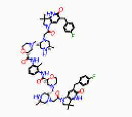 Cc1c(NC(=O)[C@@H]2CN(C[C@H]3CN[C@H](C)CN3CC(=O)N3CC(C)(C)c4[nH]c(=O)c(Cc5ccc(F)cc5)cc43)CCO2)cccc1NC(=O)[C@@H]1CN(C[C@H]2CN[C@H](C)CN2CC(=O)N2CC(C)(C)c3[nH]c(=O)c(Cc4ccc(F)cc4)cc32)CCO1